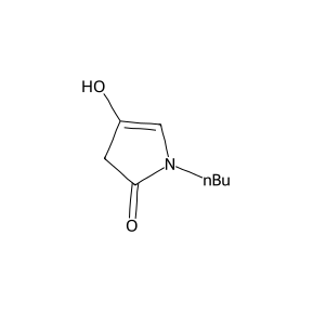 CCCCN1C=C(O)CC1=O